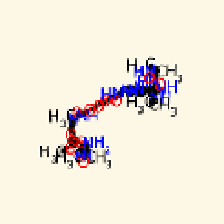 CCCOc1cc(OCCCCN(C)CC(=O)NCCOCCOCCOCCC(=O)NCCN2CCN(c3ccc(-c4cc(NC(C)C)c(C=N)c(C(=O)NCc5c(C)cc(C)[nH]c5=O)c4)cn3)CC2)cc(Oc2cc3c(cc2N)n(C)c(=O)n3C)c1